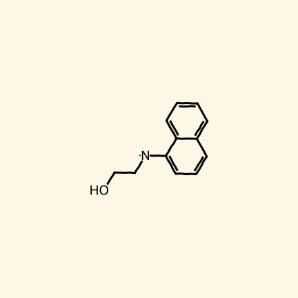 OCC[N]c1cccc2ccccc12